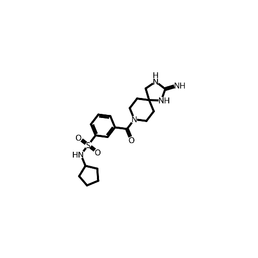 N=C1NCC2(CCN(C(=O)c3cccc(S(=O)(=O)NC4CCCC4)c3)CC2)N1